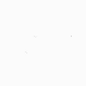 CC(C)[Si](Oc1cccc2[nH]c(=O)cnc12)(C(C)C)C(C)C